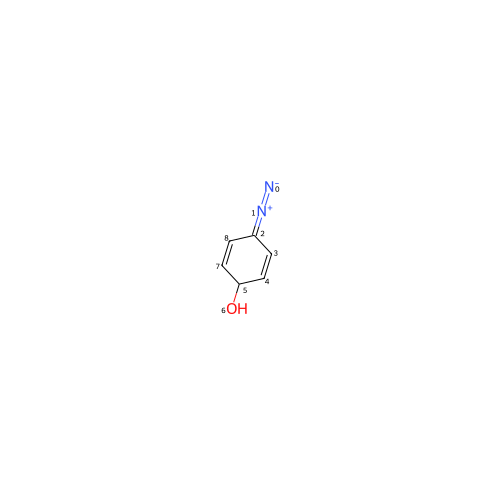 [N-]=[N+]=C1C=CC(O)C=C1